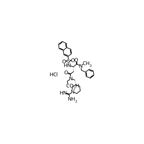 CN(Cc1ccccc1)C(=O)[C@H](CC(=O)N(CC(=O)O)C[C@@H]1CCCN(C(=N)N)C1)NS(=O)(=O)c1ccc2ccccc2c1.Cl